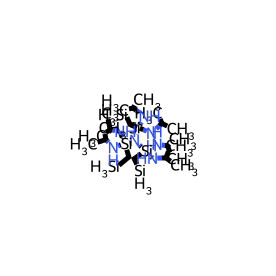 CC(C)N[Si](C[SiH3])(NC(C)C)N([Si](C[SiH3])(NC(C)C)NC(C)C)[Si](C[SiH3])(NC(C)C)NC(C)C